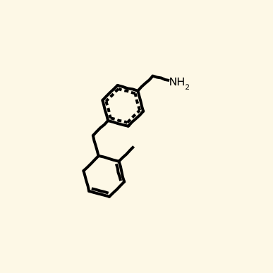 CC1=CC=CCC1Cc1ccc(CN)cc1